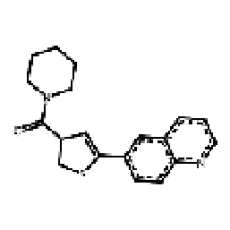 O=C(C1C=C(c2ccc3ncccc3c2)SC1)N1CCCCC1